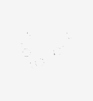 Cc1cc(OC2CCOCC2)ccc1-c1csc2ccc(COc3ccc([C@@H](C)CC(=O)O)cc3)cc12